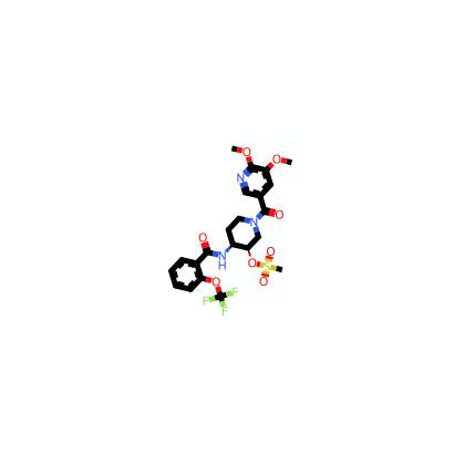 COc1cc(C(=O)N2CC[C@H](NC(=O)c3ccccc3OC(F)(F)F)[C@@H](OS(C)(=O)=O)C2)cnc1OC